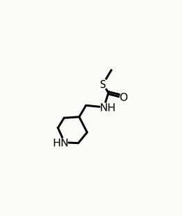 CSC(=O)NCC1CCNCC1